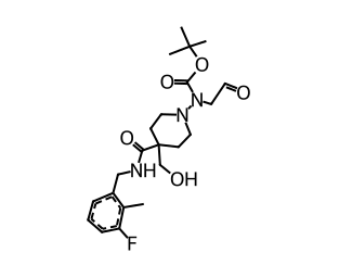 Cc1c(F)cccc1CNC(=O)C1(CO)CCN(N(CC=O)C(=O)OC(C)(C)C)CC1